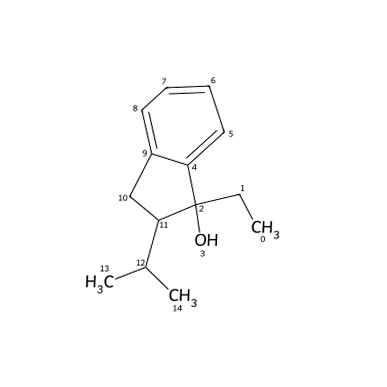 CCC1(O)c2ccccc2CC1C(C)C